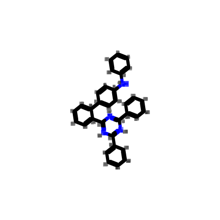 c1ccc(Nc2ccc(-c3ccccc3-c3nc(-c4ccccc4)nc(-c4ccccc4)n3)cc2)cc1